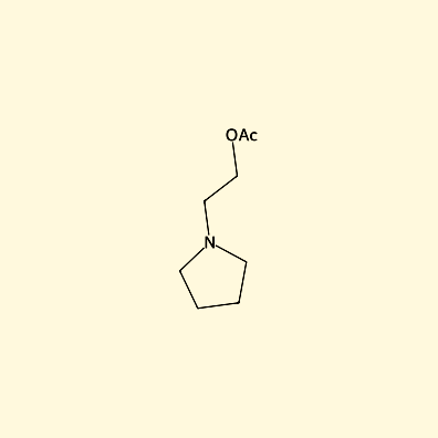 [CH2]C(=O)OCCN1CCCC1